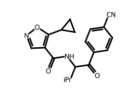 CC(C)C(NC(=O)c1cnoc1C1CC1)C(=O)c1ccc(C#N)cc1